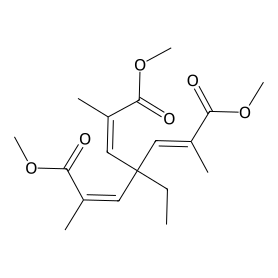 CCC(C=C(C)C(=O)OC)(C=C(C)C(=O)OC)C=C(C)C(=O)OC